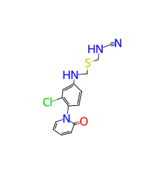 N#CNCSCNc1ccc(-n2ccccc2=O)c(Cl)c1